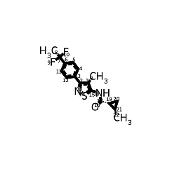 Cc1c(-c2ccc(C(C)(F)F)cc2)nsc1NC(=O)[C@@H]1C[C@H]1C